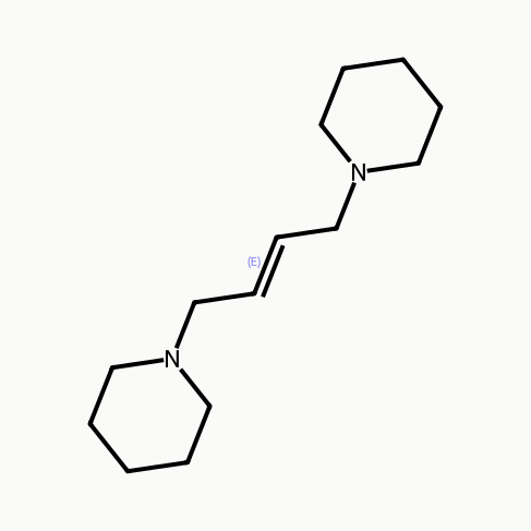 C(=C\CN1CCCCC1)/CN1CCCCC1